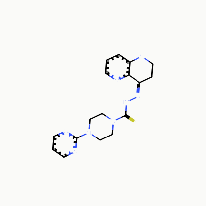 S=C(N/N=C1/CCNc2cccnc21)N1CCN(c2ncccn2)CC1